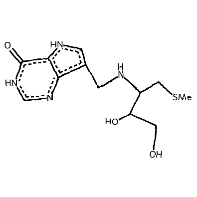 CSCC(NCc1c[nH]c2c(=O)[nH]cnc12)C(O)CO